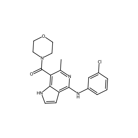 Cc1nc(Nc2cccc(Cl)c2)c2cc[nH]c2c1C(=O)N1CCOCC1